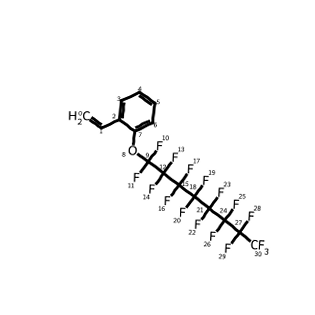 C=Cc1ccccc1OC(F)(F)C(F)(F)C(F)(F)C(F)(F)C(F)(F)C(F)(F)C(F)(F)C(F)(F)F